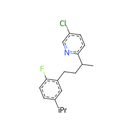 CC(C)c1ccc(F)c(CCC(C)c2ccc(Cl)cn2)c1